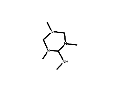 CNC1N(C)CN(C)CN1C